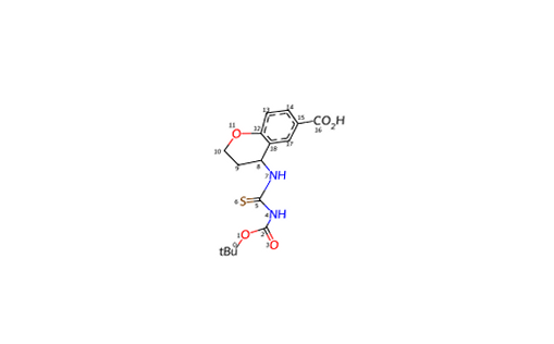 CC(C)(C)OC(=O)NC(=S)NC1CCOc2ccc(C(=O)O)cc21